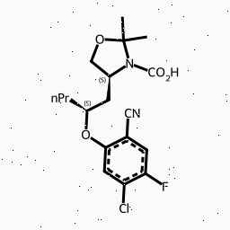 CCC[C@@H](C[C@H]1COC(C)(C)N1C(=O)O)Oc1cc(Cl)c(F)cc1C#N